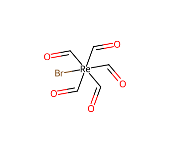 O=[CH][Re]([Br])([CH]=O)([CH]=O)([CH]=O)[CH]=O